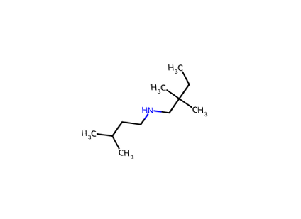 CCC(C)(C)CNCCC(C)C